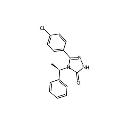 C[C@H](c1ccccc1)n1c(-c2ccc(Cl)cc2)n[nH]c1=O